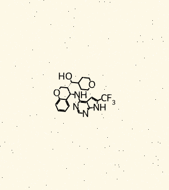 OC(C1CCOCC1)[C@H]1COc2ccccc2[C@@H]1Nc1ncnc2[nH]c(C(F)(F)F)cc12